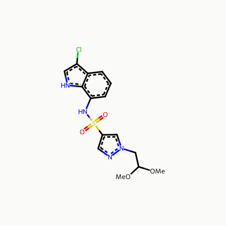 COC(Cn1cc(S(=O)(=O)Nc2cccc3c(Cl)c[nH]c23)cn1)OC